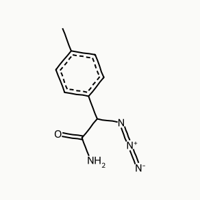 Cc1ccc(C(N=[N+]=[N-])C(N)=O)cc1